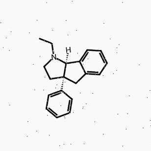 CCN1CC[C@]2(c3ccccc3)Cc3ccccc3[C@H]12